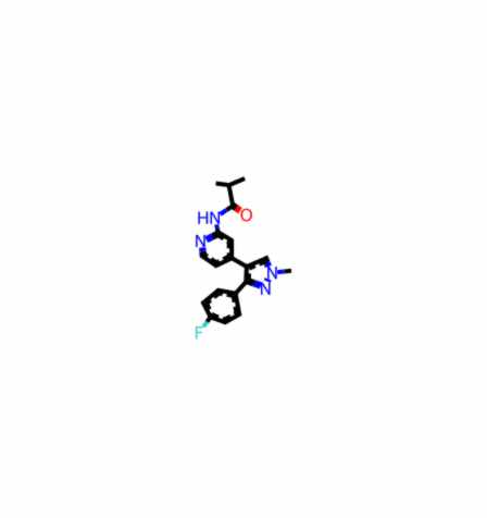 CC(C)C(=O)Nc1cc(-c2cn(C)nc2-c2ccc(F)cc2)ccn1